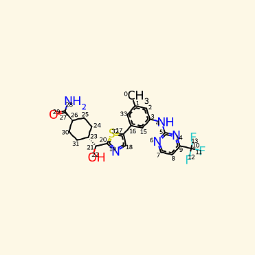 Cc1cc(Nc2nccc(C(F)(F)F)n2)cc(-c2cnc(C(O)[C@H]3CC[C@H](C(N)=O)CC3)s2)c1